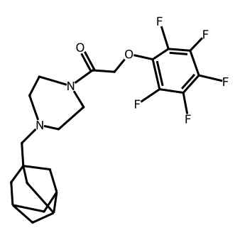 O=C(COc1c(F)c(F)c(F)c(F)c1F)N1CCN(CC23CC4CC(C2)C(C4)C3)CC1